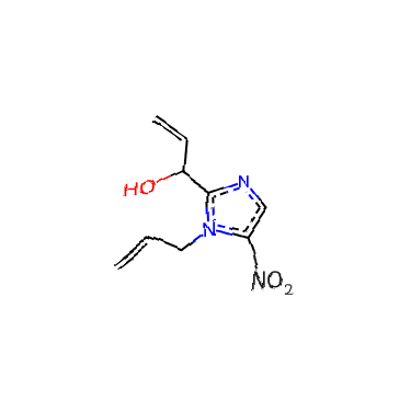 C=CCn1c([N+](=O)[O-])cnc1C(O)C=C